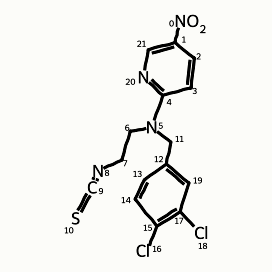 O=[N+]([O-])c1ccc(N(CCN=C=S)Cc2ccc(Cl)c(Cl)c2)nc1